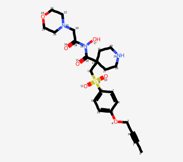 CC#CCOc1ccc(S(=O)(=O)CC2(C(=O)N(O)C(=O)CN3CCOCC3)CCNCC2)cc1